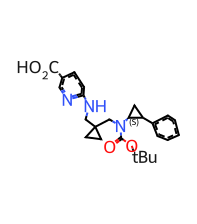 CC(C)(C)OC(=O)N(CC1(CNc2ccc(C(=O)O)cn2)CC1)[C@H]1CC1c1ccccc1